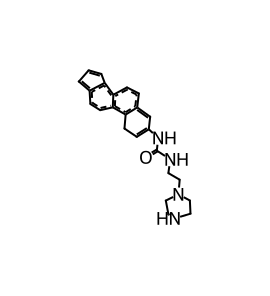 O=C(NCCN1CCNCC1)NC1=CCc2c(ccc3c4c(ccc23)=CC=C4)=C1